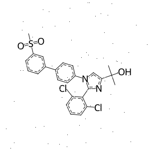 CC(C)(O)c1cn(-c2ccc(-c3cccc(S(C)(=O)=O)c3)cc2)c(-c2c(Cl)cccc2Cl)n1